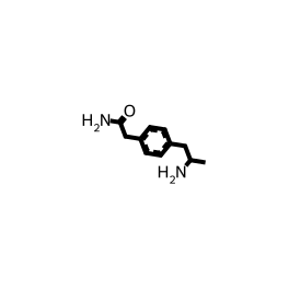 CC(N)Cc1ccc(CC(N)=O)cc1